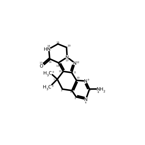 CC1(C)Cc2cnc(N)nc2-c2nn3c(c21)C(=O)NCC3